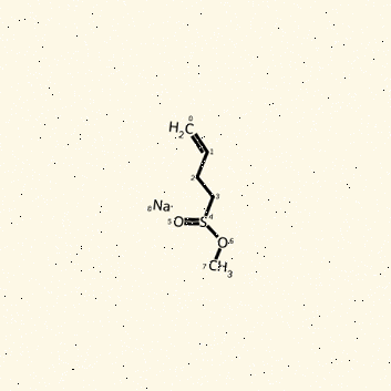 C=CCCS(=O)OC.[Na]